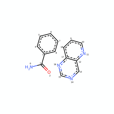 NC(=O)c1ccccc1.c1cnc2cncnc2c1